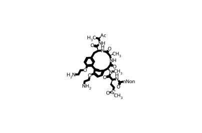 CCCCCCCCCC(=O)N[C@@H](CC[S+](C)[O-])C(=O)N(C)[C@@H]1C(=O)N[C@@H](C)C(=O)N[C@H](C(=O)N[C@@H](C)C(C)=O)Cc2ccc(OCCN)c(c2)-c2cc1ccc2OCCN